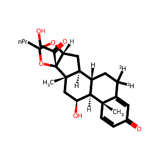 [2H]C1([2H])C[C@@H]2[C@H]([C@@H](O)C[C@@]3(C)[C@H]2C[C@H]2OC(CCC)O[C@]23C(=O)CO)[C@@]2(C)C=CC(=O)C=C12